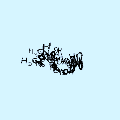 Cc1ncsc1-c1ccc([C@H](C)NC(=O)[C@@H]2C[C@@H](O)CN2C(=O)[C@H](c2cc(OCCN3CCC(CN4CCN5c6cc(-c7ccccc7O)nnc6NC[C@H]5C4)CC3)no2)C(C)C)cc1